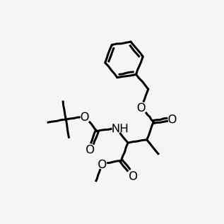 COC(=O)C(NC(=O)OC(C)(C)C)C(C)C(=O)OCc1ccccc1